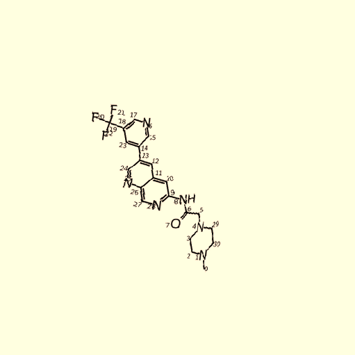 CN1CCN(CC(=O)Nc2cc3cc(-c4cncc(C(F)(F)F)c4)cnc3cn2)CC1